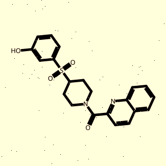 O=C(c1ccc2ccccc2n1)N1CCC(S(=O)(=O)c2cccc(O)c2)CC1